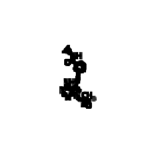 CC1(Cn2cc(C#Cc3cccc(C(=O)NC4CC4)c3)c3c(N)ncnc32)COC1